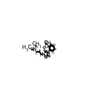 CCN(CC)CCCn1nnn(-c2ccccc2OC)c1=S